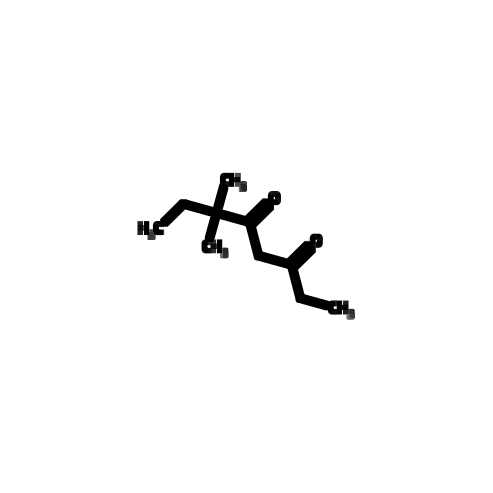 CCC(=O)CC(=O)C(C)(C)CC